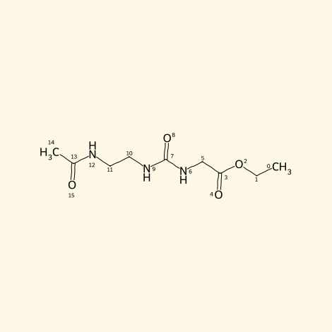 CCOC(=O)CNC(=O)NCCNC(C)=O